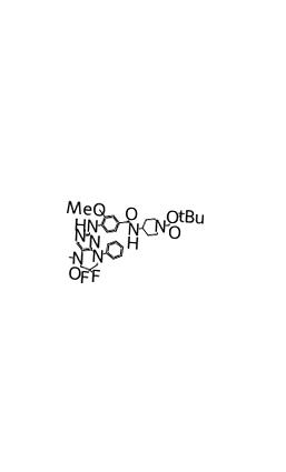 COc1cc(C(=O)NC2CCN(C(=O)OC(C)(C)C)CC2)ccc1Nc1ncc2c(n1)N(c1ccccc1)CC(F)(F)C(=O)N2C